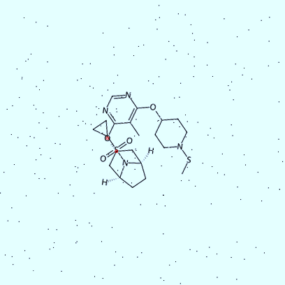 CSN1CCC(Oc2ncnc(O[C@@H]3C[C@H]4CC[C@@H](C3)N4S(=O)(=O)C3CC3)c2C)CC1